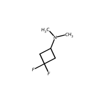 CN(C)C1CC(F)(F)C1